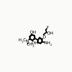 CN(C)c1cc(O)cc(-c2ccc(N)c(OCC(O)CF)c2)c1O